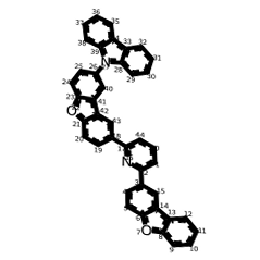 c1cc(-c2ccc3oc4ccccc4c3c2)nc(-c2ccc3oc4ccc(-n5c6ccccc6c6ccccc65)cc4c3c2)c1